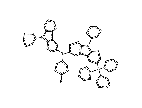 Fc1ccc(N(c2ccc3c(c2)c2ccccc2n3-c2ccccc2)c2ccc3c(c2)c2cc([Si](c4ccccc4)(c4ccccc4)c4ccccc4)ccc2n3-c2ccccc2)cc1